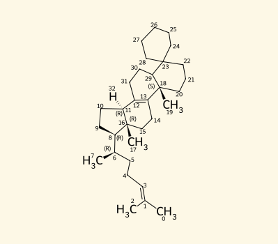 CC(C)=CCC[C@@H](C)[C@H]1CC[C@H]2C3=C(CC[C@]12C)[C@@]1(C)CCCC2(CCCCC2)C1CC3